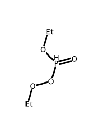 CCOO[PH](=O)OCC